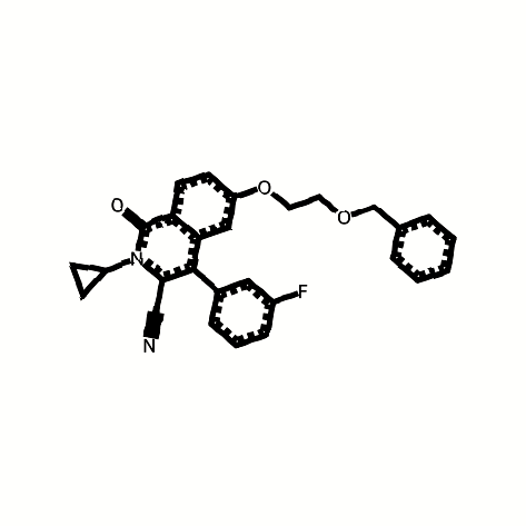 N#Cc1c(-c2cccc(F)c2)c2cc(OCCOCc3ccccc3)ccc2c(=O)n1C1CC1